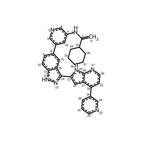 C=C(Nc1cncc(-c2ccc3[nH]nc(-c4cc5c(-c6cccnc6)ccnc5[nH]4)c3c2)c1)C1CCCCC1